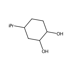 [CH2]C(C)C1CCC(O)C(O)C1